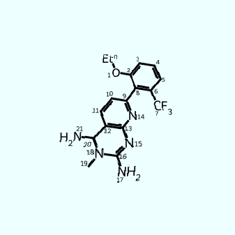 CCOc1cccc(C(F)(F)F)c1-c1ccc2c(n1)N=C(N)N(C)C2N